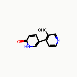 O=Cc1cnccc1-c1ccc(=O)[nH]c1